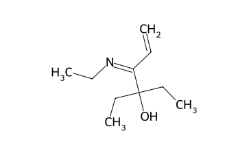 C=CC(=NCC)C(O)(CC)CC